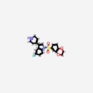 O=S(=O)(c1ccc2c(c1)OCCO2)n1cc(C2=CCNCC2)c2cc(F)ccc21